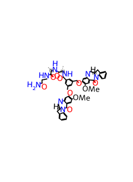 COc1cc2c(cc1OCc1cc(COc3cc4c(cc3OC)C(=O)N3c5ccccc5C[C@H]3C=N4)cc(C(=O)N[C@@H](C)C(=O)N[C@@H](C)C(=O)NCCC(N)=O)c1)N=C[C@@H]1Cc3ccccc3N1C2=O